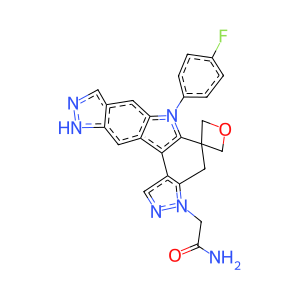 NC(=O)Cn1ncc2c1CC1(COC1)c1c-2c2cc3[nH]ncc3cc2n1-c1ccc(F)cc1